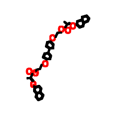 CC(=COc1ccc2ccccc2c1)C(=O)OCCCOc1ccc(-c2ccc(OCCCOC(=O)C(C)=COc3ccc4ccccc4c3)cc2)cc1